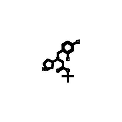 CC(C)(C)OC(=O)CN(Cc1ccc(Cl)cc1Cl)[C@@H]1CCNC1